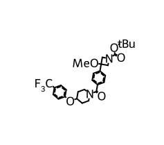 COC1(c2ccc(C(=O)N3CCC(Oc4ccc(C(F)(F)F)cc4)CC3)cc2)CN(C(=O)OC(C)(C)C)C1